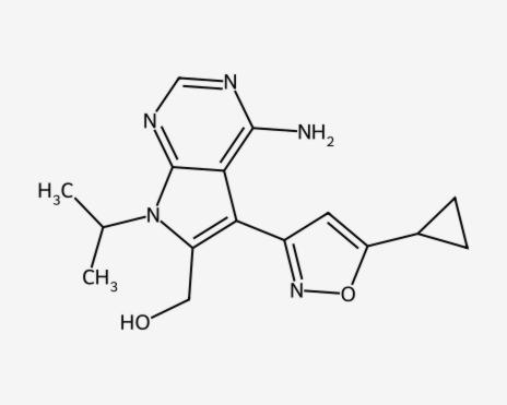 CC(C)n1c(CO)c(-c2cc(C3CC3)on2)c2c(N)ncnc21